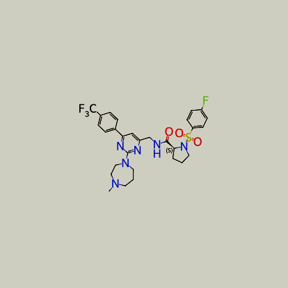 CN1CCCN(c2nc(CNC(=O)[C@@H]3CCCN3S(=O)(=O)c3ccc(F)cc3)cc(-c3ccc(C(F)(F)F)cc3)n2)CC1